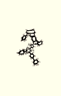 C1=C(C2NC(c3ccccc3)NC(c3ccc(-c4ccccc4)cc3)N2)NCC(n2c3ccccc3c3cc4c5ccccc5n(-c5ccccc5)c4cc32)=C1